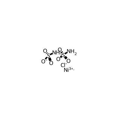 NS(=O)(=O)[O-].NS(=O)(=O)[O-].[Cl-].[Ni+3]